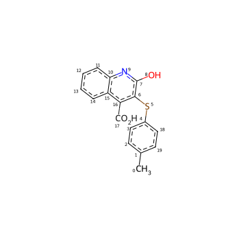 Cc1ccc(Sc2c(O)nc3ccccc3c2C(=O)O)cc1